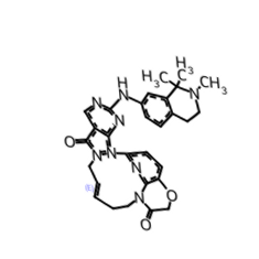 CN1CCc2ccc(Nc3ncc4c(=O)n5n(c4n3)-c3ccc4c(n3)N(CC/C=C/C5)C(=O)CO4)cc2C1(C)C